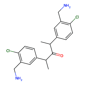 CC(C(=O)C(C)c1ccc(Cl)c(CN)c1)c1ccc(Cl)c(CN)c1